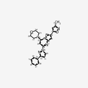 Cc1cc(-c2cc3nc(-n4ccc(-c5ccccc5)n4)cc(N4CCOCC4)n3n2)on1